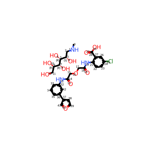 CNC[C@H](O)[C@@H](O)[C@H](O)[C@H](O)CO.O=C(COCC(=O)Nc1ccc(Cl)cc1C(=O)O)Nc1cccc(-c2ccoc2)c1